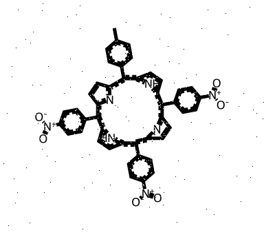 Cc1ccc(-c2c3nc(c(-c4ccc([N+](=O)[O-])cc4)c4ccc([nH]4)c(-c4ccc([N+](=O)[O-])cc4)c4nc(c(-c5ccc([N+](=O)[O-])cc5)c5ccc2[nH]5)C=C4)C=C3)cc1